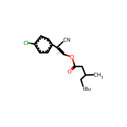 CC(CC(=O)O/C=C(\C#N)c1ccc(Cl)cc1)CC(C)(C)C